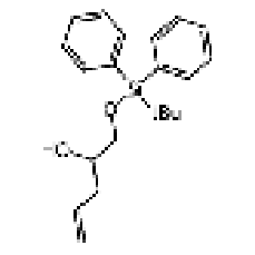 C=CCC(O)CO[Si](c1ccccc1)(c1ccccc1)C(C)(C)C